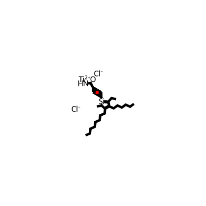 CCCCCCCCC1=C(CCCCCC)C(CC)=[Si](C23CCC4(C(=O)[NH][Ti+2])C5C46C2C536)C1C.[Cl-].[Cl-]